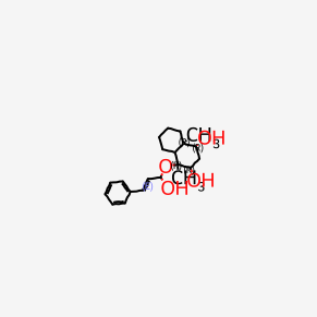 C[C@@]12CCCCC1[C@@](C)(OC(O)/C=C/c1ccccc1)[C@H](O)C[C@H]2O